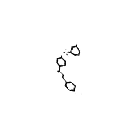 O=C(C=Cc1ccc(O)cc1)c1ccc(OS(=O)(=O)c2cccc(F)c2)cc1